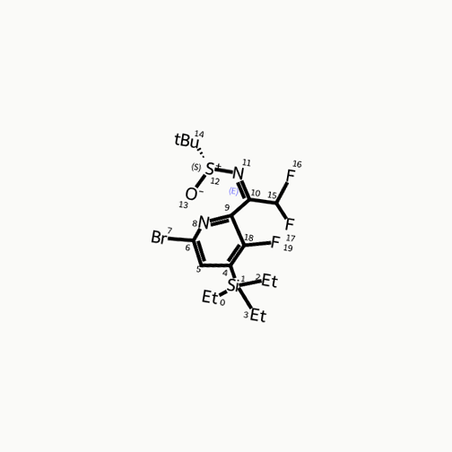 CC[Si](CC)(CC)c1cc(Br)nc(/C(=N\[S@+]([O-])C(C)(C)C)C(F)F)c1F